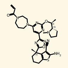 C=CC(=O)N1CCCN(c2cc(-c3noc([C@@]4(C)CCCc5sc(N)c(C#N)c54)n3)nc(O[C@@H](C)[C@@H]3CCCN3C)n2)CC1